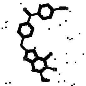 CCn1c(SC)nc2nn(Cc3ccc(C(=O)c4ccc(OC)cc4)cc3)cc2c1=O